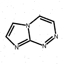 [c]1cnnc2nccn12